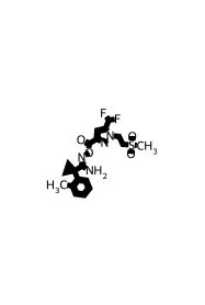 Cc1ccccc1C1(/C(N)=N/OC(=O)c2cc(C(F)F)n(CCS(C)(=O)=O)n2)CC1